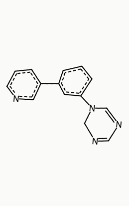 C1=NC=NCN1c1cccc(-c2cccnc2)c1